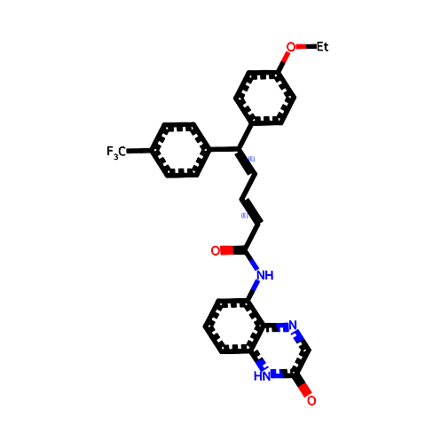 CCOc1ccc(/C(=C/C=C/C(=O)Nc2cccc3[nH]c(=O)cnc23)c2ccc(C(F)(F)F)cc2)cc1